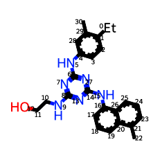 CCc1ccc(Nc2nc(NCCO)nc(Nc3cccc4c(C)cccc34)n2)cc1C